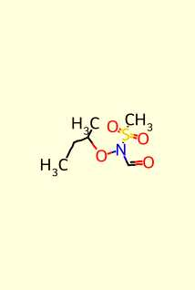 CCC(C)ON(C=O)S(C)(=O)=O